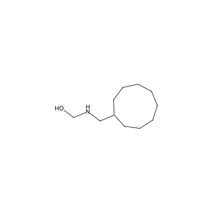 OCNCC1CCCCCCCC1